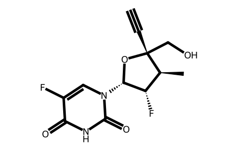 C#C[C@]1(CO)O[C@@H](n2cc(F)c(=O)[nH]c2=O)[C@@H](F)[C@@H]1C